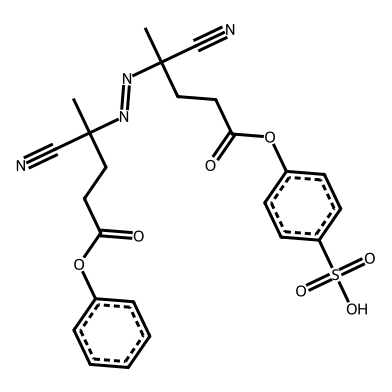 CC(C#N)(CCC(=O)Oc1ccccc1)N=NC(C)(C#N)CCC(=O)Oc1ccc(S(=O)(=O)O)cc1